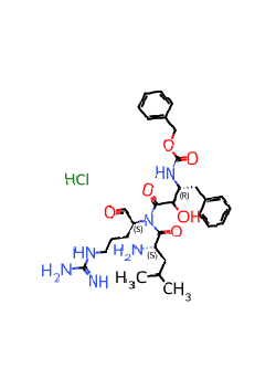 CC(C)C[C@H](N)C(=O)N(C(=O)C(O)[C@@H](Cc1ccccc1)NC(=O)OCc1ccccc1)[C@H](C=O)CCCNC(=N)N.Cl